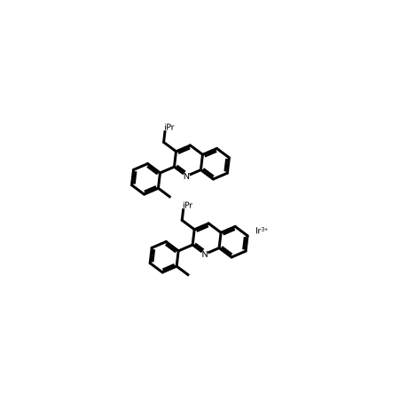 Cc1ccccc1-c1nc2ccccc2cc1CC(C)C.Cc1ccccc1-c1nc2ccccc2cc1CC(C)C.[Ir+3]